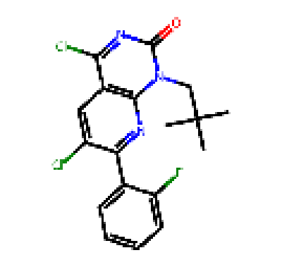 CC(C)(C)Cn1c(=O)nc(Cl)c2cc(Cl)c(-c3ccccc3F)nc21